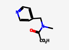 CN(Cc1ccncc1)C(=O)C(=O)O